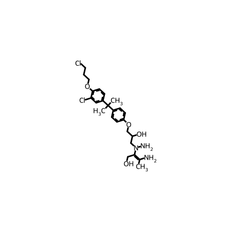 C/C(N)=C(\CO)N(N)CC(O)COc1ccc(C(C)(C)c2ccc(OCCCCl)c(Cl)c2)cc1